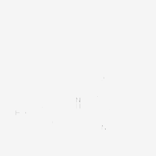 Cc1ccc(C(CC(=O)O)NC(=O)c2ccccn2)cc1